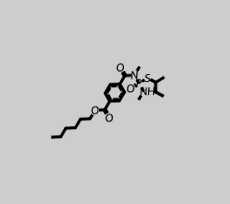 CCCCCCOC(=O)c1ccc(C(=O)N(C)P(=O)(NC)SC(C)CC)cc1